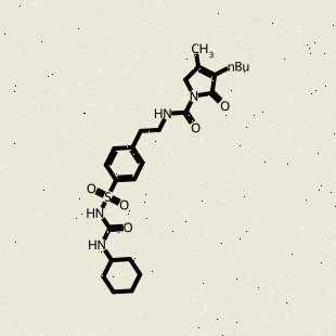 CCCCC1=C(C)CN(C(=O)NCCc2ccc(S(=O)(=O)NC(=O)NC3CCCCC3)cc2)C1=O